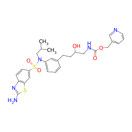 CC(C)CN(c1cccc(CCC(O)CNC(=O)OCc2cccnc2)c1)S(=O)(=O)c1ccc2nc(N)sc2c1